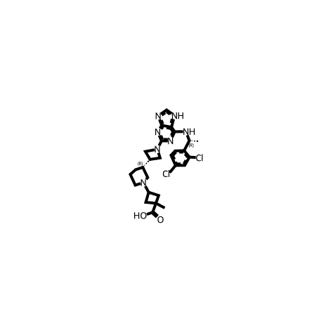 C[C@@H](Nc1nc(N2CC([C@H]3CCCN(C4CC(C)(C(=O)O)C4)C3)C2)nc2nc[nH]c12)c1ccc(Cl)cc1Cl